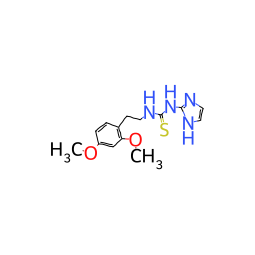 COc1ccc(CCNC(=S)Nc2ncc[nH]2)c(OC)c1